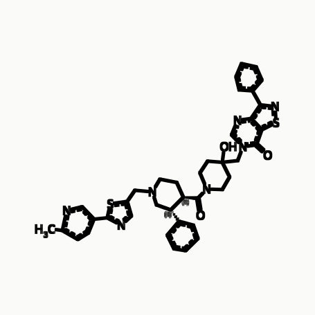 Cc1ccc(-c2ncc(CN3CC[C@@H](C(=O)N4CCC(O)(Cn5cnc6c(-c7ccccc7)nsc6c5=O)CC4)[C@H](c4ccccc4)C3)s2)cn1